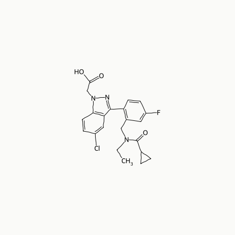 CCN(Cc1cc(F)ccc1-c1nn(CC(=O)O)c2ccc(Cl)cc12)C(=O)C1CC1